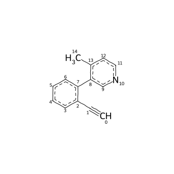 C#Cc1ccccc1-c1cnccc1C